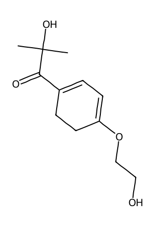 CC(C)(O)C(=O)C1=CC=C(OCCO)CC1